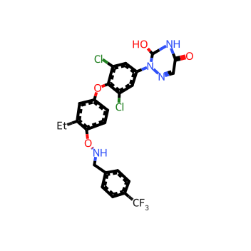 CCc1cc(Oc2c(Cl)cc(N3N=CC(=O)NC3O)cc2Cl)ccc1ONCc1ccc(C(F)(F)F)cc1